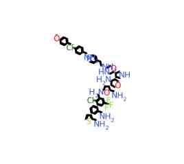 C1CCNC1.C1COCCN1.NC1CCOCC1.NCC1CCCO1.NCCc1ccncc1.NCc1cc(C(F)(F)F)ccc1Cl.NCc1ccc(Cl)cc1.NCc1ccccc1.NCc1cccs1.[CH2]c1ccc(OC)cc1